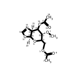 CO[C@@H]1C(COC(C)=O)O[C@H]2OC=N[C@H]2C1OC(C)=O